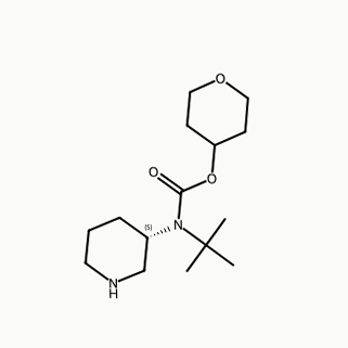 CC(C)(C)N(C(=O)OC1CCOCC1)[C@H]1CCCNC1